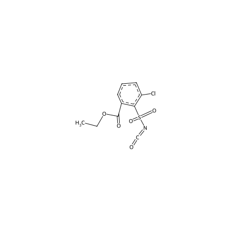 CCOC(=O)c1cccc(Cl)c1S(=O)(=O)N=C=O